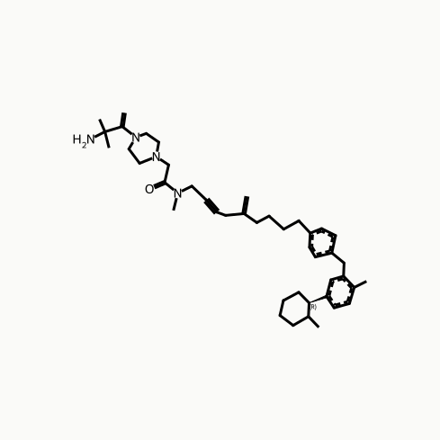 C=C(CC#CCN(C)C(=O)CN1CCN(C(=C)C(C)(C)N)CC1)CCCCc1ccc(Cc2cc([C@@H]3CCCCC3C)ccc2C)cc1